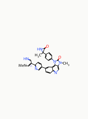 CN/C=C(\C=N)c1ccc(-c2ccc3ncc4c(c3c2)n(-c2ccc(C3(C)NC3=O)cc2)c(=O)n4C)cn1